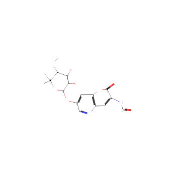 COC1C(O)C(O)C(Oc2cnc3cc(NC=O)c(=O)oc3c2)OC1(C)C